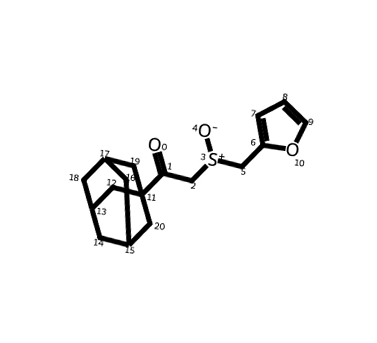 O=C(C[S+]([O-])Cc1ccco1)C12CC3CC(CC(C3)C1)C2